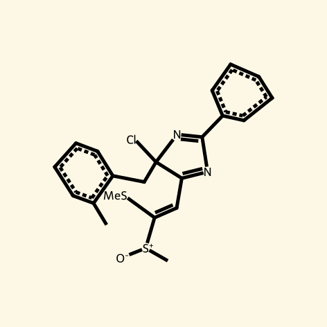 CSC(=CC1=NC(c2ccccc2)=NC1(Cl)Cc1ccccc1C)[S+](C)[O-]